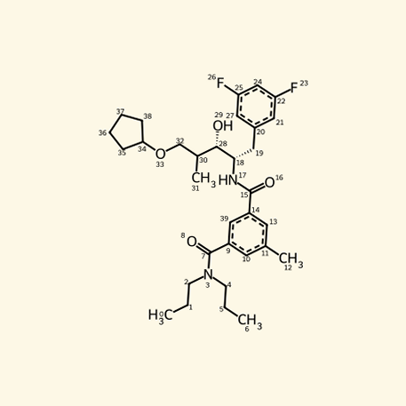 CCCN(CCC)C(=O)c1cc(C)cc(C(=O)N[C@@H](Cc2cc(F)cc(F)c2)[C@@H](O)C(C)COC2CCCC2)c1